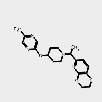 CC(c1ccc2c(n1)OCCO2)N1CCC(Oc2cnc(C(F)(F)F)cn2)CC1